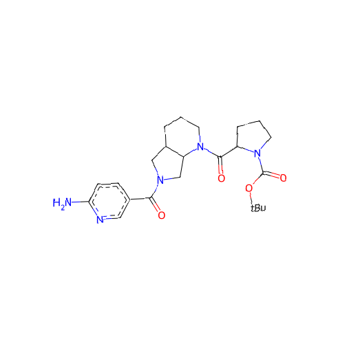 CC(C)(C)OC(=O)N1CCCC1C(=O)N1CCCC2CN(C(=O)c3ccc(N)nc3)CC21